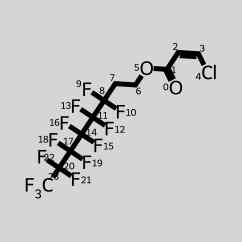 O=C(/C=C\Cl)OCCC(F)(F)C(F)(F)C(F)(F)C(F)(F)C(F)(F)C(F)(F)F